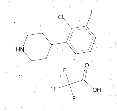 Clc1c(I)cccc1C1CCNCC1.O=C(O)C(F)(F)F